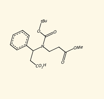 COC(=O)CCN(C(=O)OC(C)(C)C)C(CC(=O)O)c1ccccc1